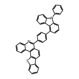 c1ccc(-n2c3ccccc3c3c(-c4ccc(-c5nc6ccccc6c6c5ccc5c7ccccc7sc56)cc4)cccc32)cc1